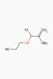 C=C(CCCC)C(CC)OCCC#N